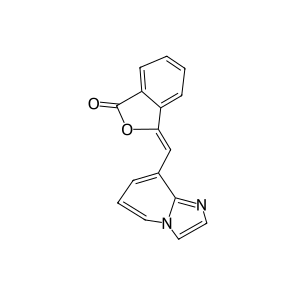 O=C1OC(=Cc2cccn3ccnc23)c2ccccc21